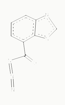 [N-]=[N+]=NC(=O)c1cccc2nc[nH]c12